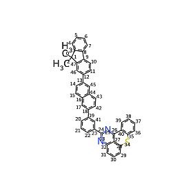 CC1(C)c2ccccc2-c2ccc(-c3ccc4cc(-c5cccc(-c6nc7c8c(cccc8n6)Sc6ccccc6-7)c5)ccc4c3)cc21